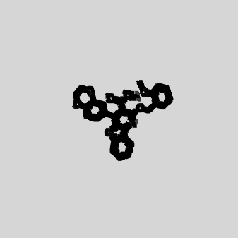 COc1ccccc1COc1nc2c(oc3ccccc32)c(-c2ccc3c(c2)OCCO3)c1C(=O)O